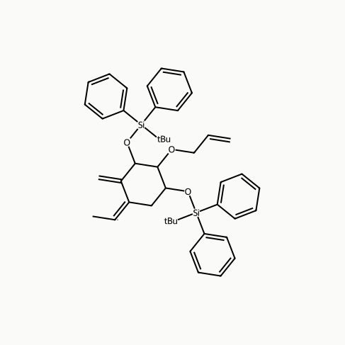 C=CCOC1C(O[Si](c2ccccc2)(c2ccccc2)C(C)(C)C)C/C(=[C]/C)C(=C)C1O[Si](c1ccccc1)(c1ccccc1)C(C)(C)C